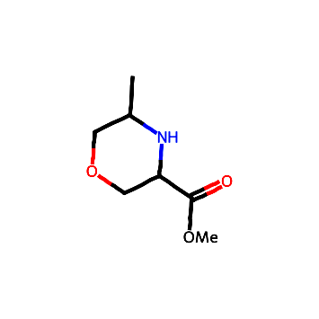 COC(=O)C1COCC(C)N1